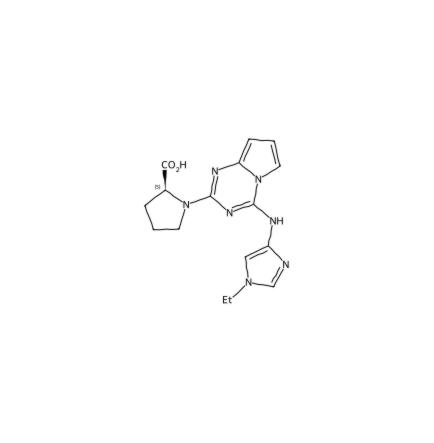 CCn1cnc(Nc2nc(N3CCC[C@H]3C(=O)O)nc3cccn23)c1